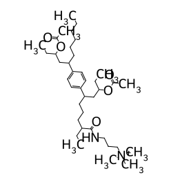 CCCCCCC(CC(CC)OC(C)=O)c1ccc(C(CCCC(CC)C(=O)NCCC[N+](C)(C)C)CC(CC)OC(C)=O)cc1